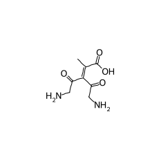 CC(C(=O)O)=C(C(=O)CN)C(=O)CN